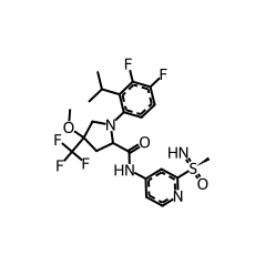 COC1(C(F)(F)F)CC(C(=O)Nc2ccnc([S@](C)(=N)=O)c2)N(c2ccc(F)c(F)c2C(C)C)C1